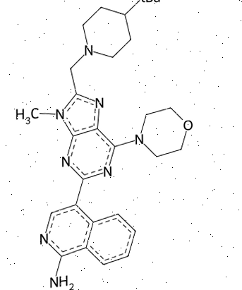 Cn1c(CN2CCC(C(C)(C)C)CC2)nc2c(N3CCOCC3)nc(-c3cnc(N)c4ccccc34)nc21